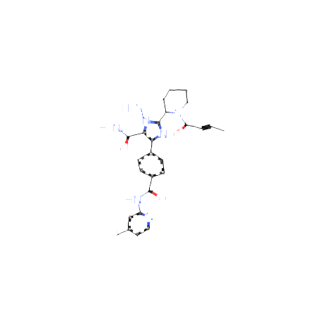 CC#CC(=O)N1CCCCC1c1nc(-c2ccc(C(=O)Nc3cc(C)ccn3)cc2)c(C(N)=O)n1N